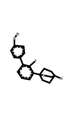 CCOc1ccc(-c2cccc(C34CCC(CC)(CC3)CC4)c2F)cc1